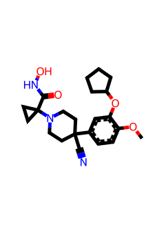 COc1ccc(C2(C#N)CCN(C3(C(=O)NO)CC3)CC2)cc1OC1CCCC1